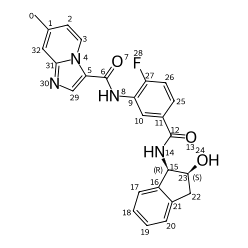 Cc1ccn2c(C(=O)Nc3cc(C(=O)N[C@@H]4c5ccccc5C[C@@H]4O)ccc3F)cnc2c1